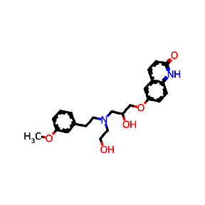 COc1cccc(CCN(CCO)CC(O)COc2ccc3[nH]c(=O)ccc3c2)c1